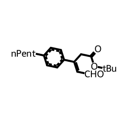 CCCCCc1ccc(C(=CC=O)CC(=O)OC(C)(C)C)cc1